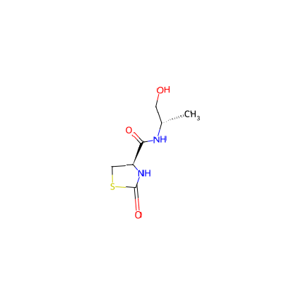 C[C@@H](CO)NC(=O)[C@@H]1CSC(=O)N1